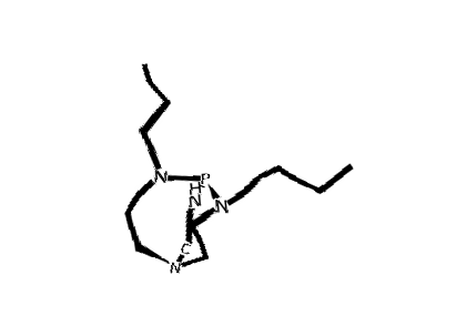 CCCN1CC[N@]2CCN(CCC)[P@@]1NC2